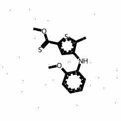 COC(=S)c1cc(Nc2ccccc2OC)c(C)s1